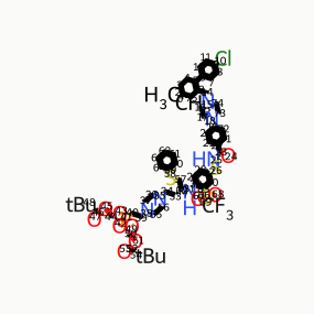 CC1(C)CCC(c2ccc(Cl)cc2)=C(CN2CCN(c3ccc(C(=O)NSc4ccc(N[C@H](CCN5CCN(CCP(=O)(OCOC(=O)C(C)(C)C)OCOC(=O)C(C)(C)C)CC5)CSc5ccccc5)c(S(=O)(=O)C(F)(F)F)c4)cc3)CC2)C1